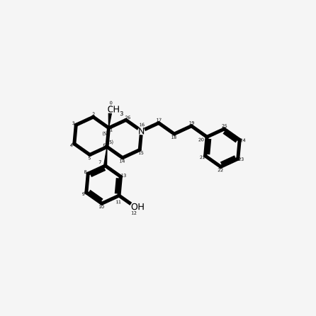 C[C@]12CCCC[C@@]1(c1cccc(O)c1)CCN(CCCc1ccccc1)C2